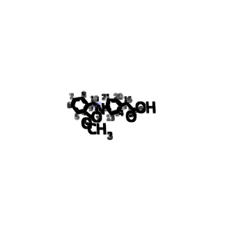 COC(=O)c1ccccc1/C=N/c1ccc(CC(=O)O)cc1